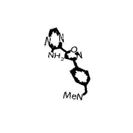 CNCc1ccc(-c2cc(-c3nccnc3N)on2)cc1